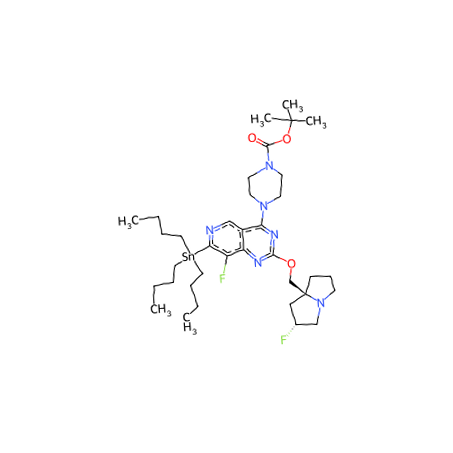 CCC[CH2][Sn]([CH2]CCC)([CH2]CCC)[c]1ncc2c(N3CCN(C(=O)OC(C)(C)C)CC3)nc(OC[C@@]34CCCN3C[C@H](F)C4)nc2c1F